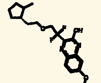 COc1ccc2nc(C(F)(F)COCC[C@@H]3CCCC3C)c(O)nc2c1